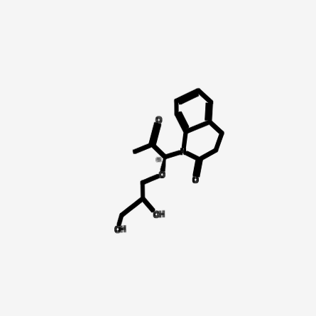 CC(=O)[C@H](OCC(O)CO)N1C(=O)CCc2ccccc21